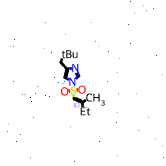 CC/C(C)=C/S(=O)(=O)n1cnc(CC(C)(C)C)c1